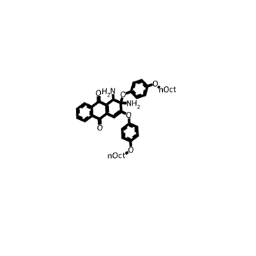 CCCCCCCCOc1ccc(OC2=CC3=C(C(=O)c4ccccc4C3=O)C(N)C2(N)Oc2ccc(OCCCCCCCC)cc2)cc1